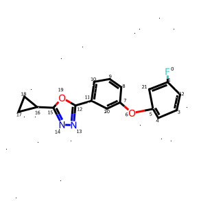 Fc1[c]ccc(Oc2cccc(-c3nnc(C4CC4)o3)c2)c1